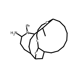 CC1C2CCCCCCCC3CC(CC3CCCCC2)C2CCC(N)N(C(C)C)C1CC2